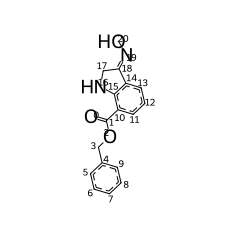 O=C(OCc1ccccc1)c1cccc2c1NCC2=NO